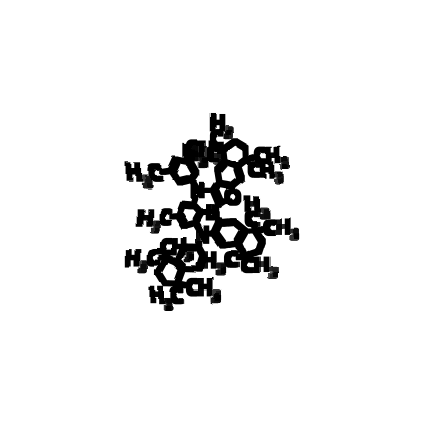 Cc1cc(C)cc(N2c3cc(C)cc4c3B(c3cc5c(cc3N4c3ccc4c(c3)C(C)(C)CCC4(C)C)C(C)(C)CCC5(C)C)c3oc4cc5c(cc4c32)C(C)(C)CCC5(C)C)c1